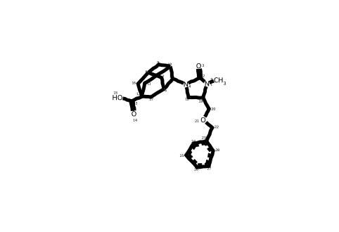 CN1C(=O)N(C2C3CC4CC2CC(C(=O)O)(C4)C3)CC1COCc1ccccc1